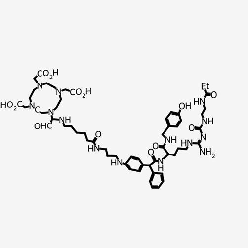 CCC(=O)NCCNC(=O)/N=C(/N)NCCC[C@@H](NC(=O)C(c1ccccc1)c1ccc(NCCCNC(=O)CCCCCNC(C=O)N2CCN(CC(=O)O)CCN(CC(=O)O)CCN(CC(=O)O)CC2)cc1)C(=O)NCc1ccc(O)cc1